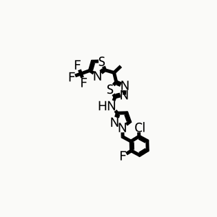 CC(c1nc(C(F)(F)F)cs1)c1nnc(Nc2ccn(Cc3c(F)cccc3Cl)n2)s1